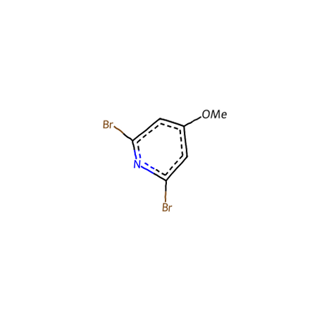 COc1cc(Br)nc(Br)c1